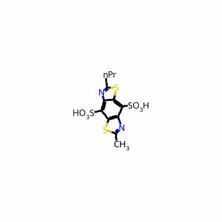 CCCc1nc2c(S(=O)(=O)O)c3sc(C)nc3c(S(=O)(=O)O)c2s1